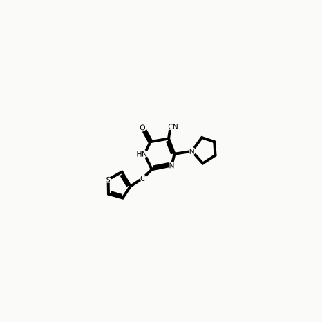 N#Cc1c(N2CCCC2)nc(Cc2ccsc2)[nH]c1=O